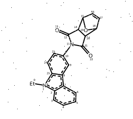 CCn1c2ccccc2c2cc(N3C(=O)C4C5C=CC(O5)C4C3=O)ccc21